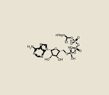 CCCCCCCC(CC)OP(=O)(O)OP(=O)(O)OP(=O)(O)OC[C@H]1O[C@@H](n2cnc3c(N)ncnc32)[C@H](O)[C@@H]1O